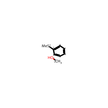 CO.CSc1ccccc1